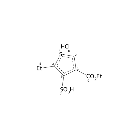 CCOC(=O)c1csc(CC)c1S(=O)(=O)O.Cl